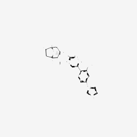 [2H][C@]12C[C@@H](Oc3ncc(-c4ccc(-n5ccnc5)cc4O)nn3)[C@H](F)[C@](C)(C[C@H]1F)N2